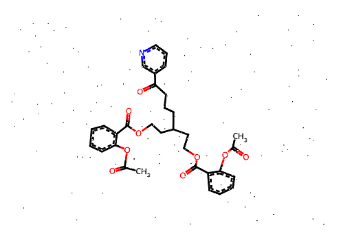 CC(=O)Oc1ccccc1C(=O)OCCC(CCCC(=O)c1cccnc1)CCOC(=O)c1ccccc1OC(C)=O